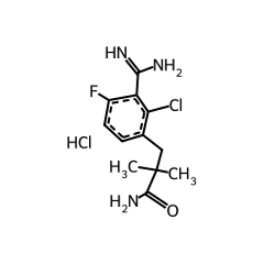 CC(C)(Cc1ccc(F)c(C(=N)N)c1Cl)C(N)=O.Cl